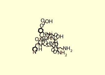 CC(C)[C@H](C)C(=O)N[C@@H](CO)C(=O)N[C@@H](CSCC(=O)N[C@@H](Cc1ccncc1)C(=O)N[C@@H](Cc1ccc(OCC(=O)O)cc1)C(N)=O)C(=O)N[C@@H](CCN)C(N)=O